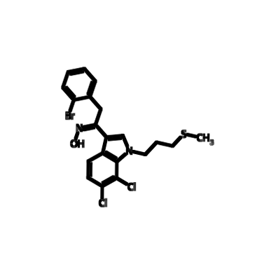 CSCCCn1cc(C(Cc2ccccc2Br)=NO)c2ccc(Cl)c(Cl)c21